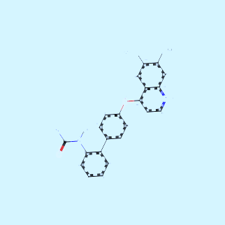 CCCCN(C(N)=O)c1ccccc1-c1ccc(Oc2ccnc3cc(OC)c(OC)cc23)cc1